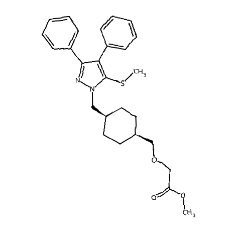 COC(=O)COC[C@H]1CC[C@@H](Cn2nc(-c3ccccc3)c(-c3ccccc3)c2SC)CC1